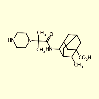 CC1C2CC3CC(CC1(C(=O)O)C3)C2NC(=O)C(C)(C)N1CCNCC1